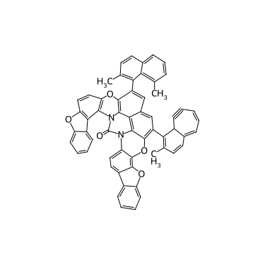 CC1=C(c2cc3cc(-c4c(C)ccc5cccc(C)c45)c4oc5ccc6oc7ccccc7c6c5n5c(=O)n6c7ccc8c9ccccc9oc8c7oc2c6c3c45)C2C#CC=CC=C2C=C1